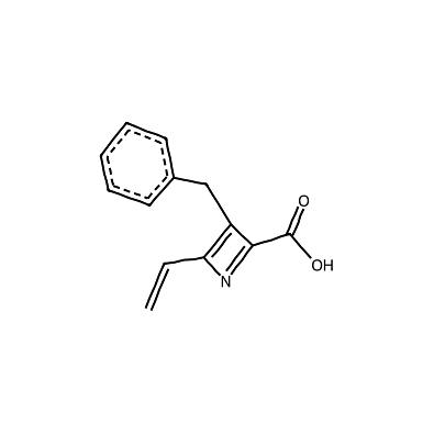 C=CC1=C(Cc2ccccc2)C(C(=O)O)=N1